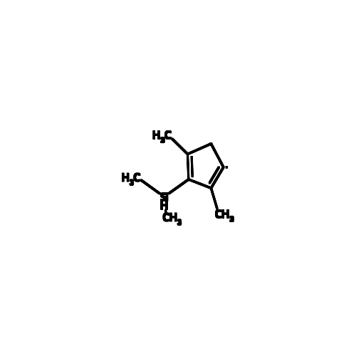 CC1=[C]CC(C)=C1[SiH](C)C